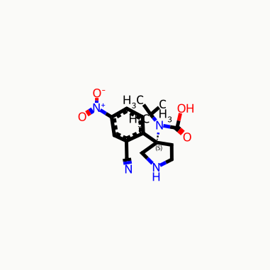 CC(C)(C)N(C(=O)O)[C@]1(c2ccc([N+](=O)[O-])cc2C#N)CCNC1